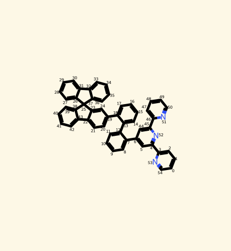 c1ccc(-c2cc(-c3ccccc3-c3ccccc3-c3ccc4c(c3)C3(c5ccccc5-c5ccccc53)c3ccccc3-4)cc(-c3ccccn3)n2)nc1